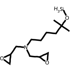 CC(C)(CCCCN(CC1CO1)CC1CO1)O[SiH3]